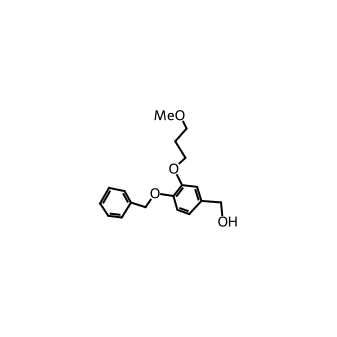 COCCCOc1cc(CO)ccc1OCc1ccccc1